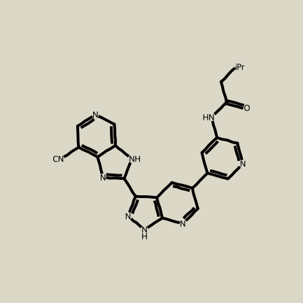 [C-]#[N+]c1cncc2[nH]c(-c3n[nH]c4ncc(-c5cncc(NC(=O)CC(C)C)c5)cc34)nc12